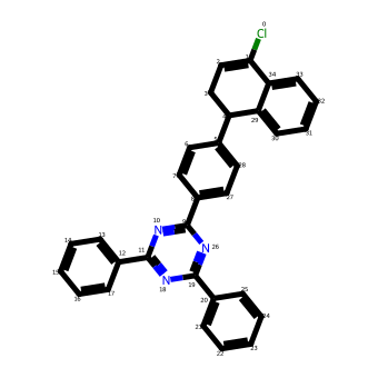 ClC1=CCC(c2ccc(-c3nc(-c4ccccc4)nc(-c4ccccc4)n3)cc2)c2ccccc21